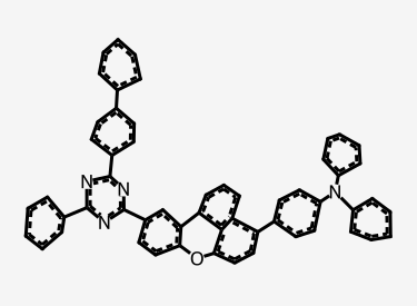 c1ccc(-c2ccc(-c3nc(-c4ccccc4)nc(-c4ccc5c(c4)-c4cccc6c(-c7ccc(N(c8ccccc8)c8ccccc8)cc7)ccc(c46)O5)n3)cc2)cc1